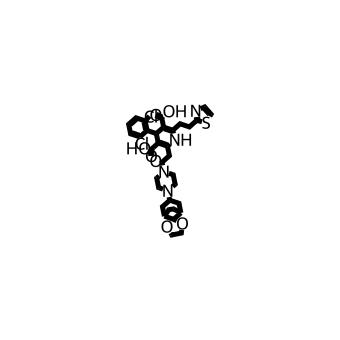 O=C(O)C1=C(CCc2nccs2)NC(CC(=O)N2CCN(C3CC4CCC(C3)C43OCCO3)CC2)=C(C(=O)O)C1c1c(Cl)cccc1Cl